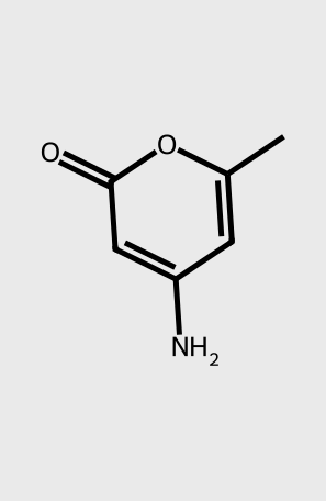 Cc1cc(N)cc(=O)o1